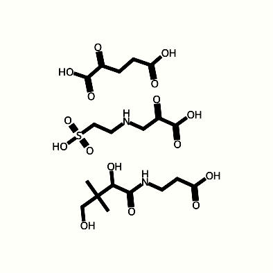 CC(C)(CO)C(O)C(=O)NCCC(=O)O.O=C(O)C(=O)CNCCS(=O)(=O)O.O=C(O)CCC(=O)C(=O)O